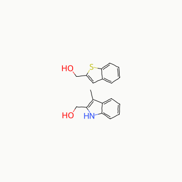 Cc1c(CO)[nH]c2ccccc12.OCc1cc2ccccc2s1